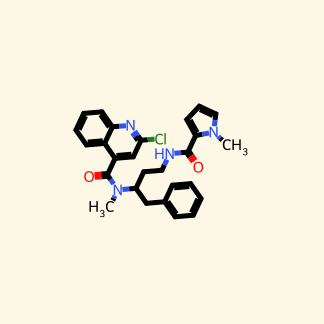 CN(C(=O)c1cc(Cl)nc2ccccc12)C(CCNC(=O)c1cccn1C)Cc1ccccc1